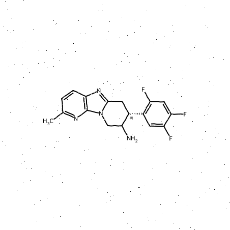 Cc1ccc2nc3n(c2n1)CC(N)[C@@H](c1cc(F)c(F)cc1F)C3